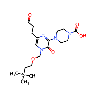 C[Si](C)(C)CCOCn1cc(CCC=O)nc(N2CCN(C(=O)O)CC2)c1=O